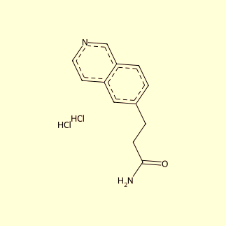 Cl.Cl.NC(=O)CCc1ccc2cnccc2c1